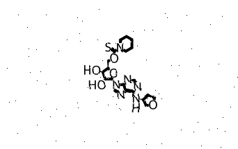 OC1C(n2cnc3c(N[C@@H]4CCOC4)ncnc32)O[C@H](COC(=S)N2CCCCC2)[C@H]1O